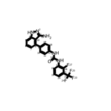 Nc1n[nH]c2cccc(-c3ccc(NC(=O)Nc4cccc(C(F)(F)F)c4F)cc3)c12